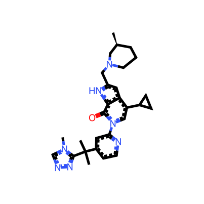 C[C@H]1CCCN(Cc2cc3c(C4CC4)cn(-c4cc(C(C)(C)c5nncn5C)ccn4)c(=O)c3[nH]2)C1